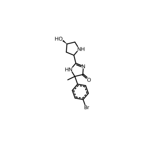 CC1(c2ccc(Br)cc2)NC(C2C[C@@H](O)CN2)=NC1=O